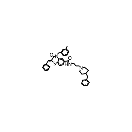 Cc1cccc(CN2C(=O)/C(=C/c3ccccc3)Sc3ccc(C(=O)NCCCN4CCC(Cc5ccccc5)CC4)cc32)c1